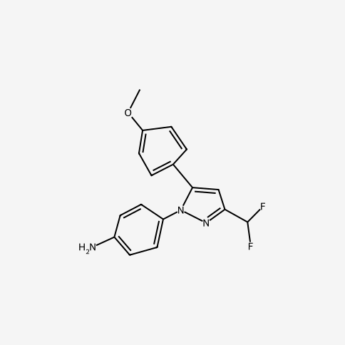 COc1ccc(-c2cc(C(F)F)nn2-c2ccc(N)cc2)cc1